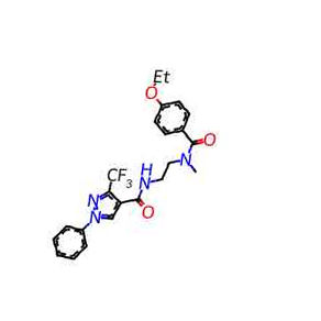 CCOc1ccc(C(=O)N(C)CCNC(=O)c2cn(-c3ccccc3)nc2C(F)(F)F)cc1